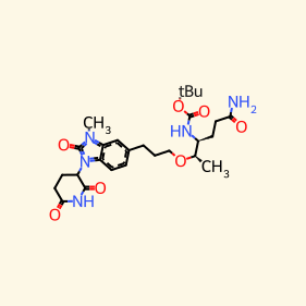 C[C@@H](OCCCc1ccc2c(c1)n(C)c(=O)n2C1CCC(=O)NC1=O)[C@H](CCC(N)=O)NC(=O)OC(C)(C)C